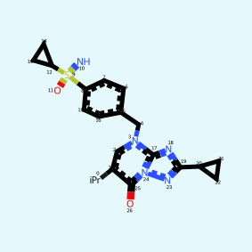 CC(C)c1cn(Cc2ccc(S(=N)(=O)C3CC3)cc2)c2nc(C3CC3)nn2c1=O